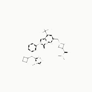 CN(C)C(=O)C1CN(Cc2cc(C(F)(F)F)c3cn(-c4cccc([C@H](c5nncn5C)C5CCC5)c4)c(=O)n3c2)C1